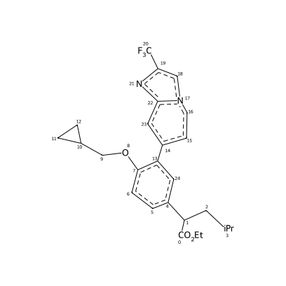 CCOC(=O)C(CC(C)C)c1ccc(OCC2CC2)c(-c2ccn3cc(C(F)(F)F)nc3c2)c1